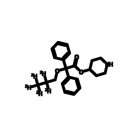 [2H]C([2H])([2H])C([2H])([2H])COC(C(=O)OC1CCNCC1)(c1ccccc1)c1ccccc1